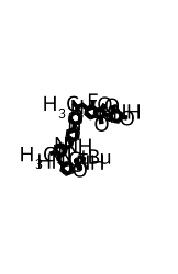 Cc1cnc(Nc2ccc(N3CCC(N(C)Cc4ccc5c(c4F)C(=O)N(C4CCC(=O)NC4=O)C5=O)CC3)cc2)nc1Nc1cccc(S(=O)(=O)NC(C)(C)C)c1